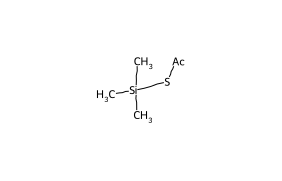 CC(=O)S[Si](C)(C)C